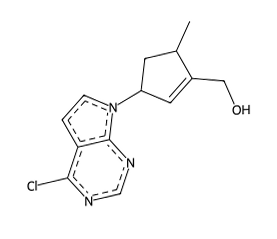 CC1CC(n2ccc3c(Cl)ncnc32)C=C1CO